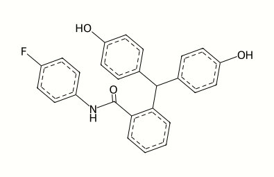 O=C(Nc1ccc(F)cc1)c1ccccc1C(c1ccc(O)cc1)c1ccc(O)cc1